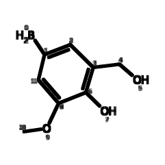 Bc1cc(CO)c(O)c(OC)c1